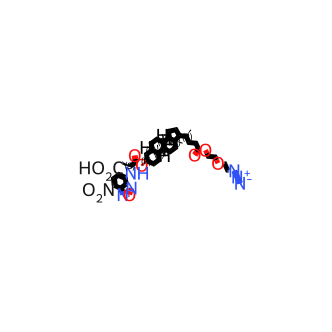 C[C@H](CCC(=O)OCCOCCN=[N+]=[N-])C1CC[C@H]2[C@@H]3CC[C@@H]4C[C@H](OC(=O)[C@H](CC(=O)O)Nc5ccc([N+](=O)[O-])c6nonc56)CC[C@]4(C)[C@H]3CC[C@]12C